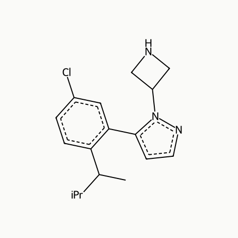 CC(C)C(C)c1ccc(Cl)cc1-c1ccnn1C1CNC1